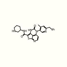 Cc1cc(CC(C)C)ncc1N1C(=O)Nc2c(C(=O)NC3CCCNC3)sc3nccc1c23